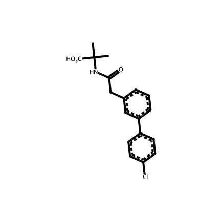 CC(C)(NC(=O)Cc1cccc(-c2ccc(Cl)cc2)c1)C(=O)O